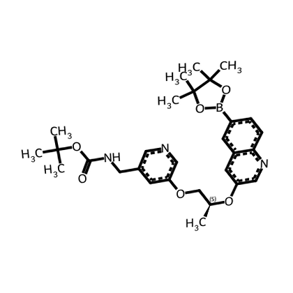 C[C@@H](COc1cncc(CNC(=O)OC(C)(C)C)c1)Oc1cnc2ccc(B3OC(C)(C)C(C)(C)O3)cc2c1